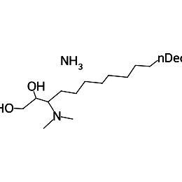 CCCCCCCCCCCCCCCCCCC(C(O)CO)N(C)C.N